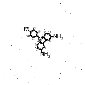 Nc1ccc2c(c1)c1cc(N)ccc1n2-c1ccc(O)cc1